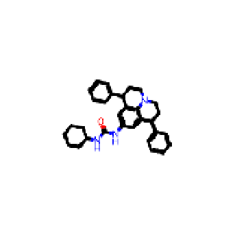 O=C(Nc1cc2c3c(c1)C(c1ccccc1)CCN3CCC2c1ccccc1)NC1CCCCC1